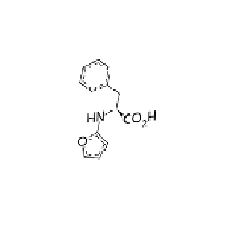 O=C(O)[C@H](Cc1ccccc1)Nc1ccco1